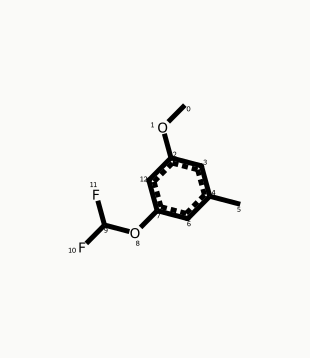 COc1cc(C)cc(OC(F)F)c1